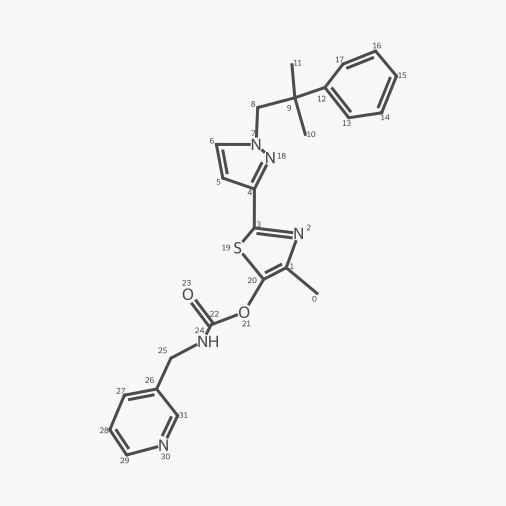 Cc1nc(-c2ccn(CC(C)(C)c3ccccc3)n2)sc1OC(=O)NCc1cccnc1